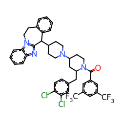 O=C(c1cc(C(F)(F)F)cc(C(F)(F)F)c1)N1CCC(N2CCC(C3c4ccccc4CCn4c3nc3ccccc34)CC2)CC1Cc1ccc(Cl)c(Cl)c1